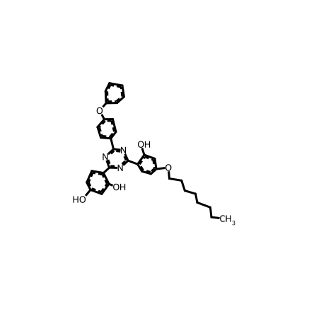 CCCCCCCCOc1ccc(-c2nc(-c3ccc(Oc4ccccc4)cc3)nc(-c3ccc(O)cc3O)n2)c(O)c1